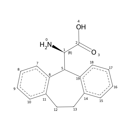 N[C@@H](C(=O)O)C1c2ccccc2CCc2ccccc21